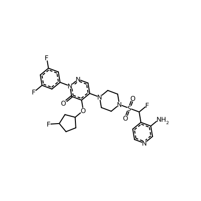 Nc1cnccc1C(F)S(=O)(=O)N1CCN(c2cnn(-c3cc(F)cc(F)c3)c(=O)c2OC2CCC(F)C2)CC1